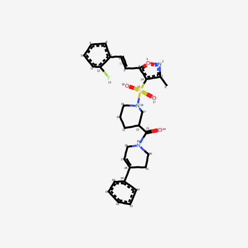 Cc1noc(/C=C/c2ccccc2F)c1S(=O)(=O)N1CCCC(C(=O)N2CC=C(c3ccccc3)CC2)C1